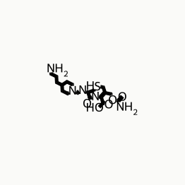 NCCCC1CCN(/C=N/C2C(=O)N3C(C(=O)O)=C(COC(N)=O)CS[C@H]23)CC1